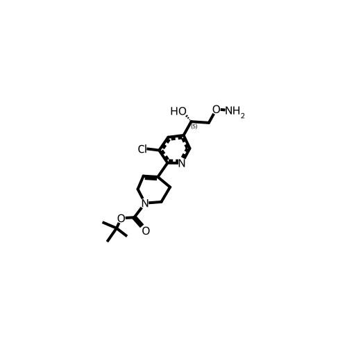 CC(C)(C)OC(=O)N1CC=C(c2ncc([C@H](O)CON)cc2Cl)CC1